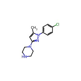 Cc1cc(N2CCNCC2)nn1-c1ccc(Cl)cc1